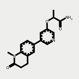 CC(Oc1cncc(-c2ccc3c(c2)CCC(=O)N3C)c1)C(N)=O